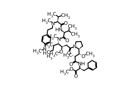 CC[C@H](C)[C@@H]([C@@H](CC(=O)N1CCC[C@H]1[C@H](OC)[C@@H](C)C(=O)N[C@@H](CC1=CC=CCC1)C(=O)OC)OC)N(C)C(=O)[C@@H](NC(=O)[C@H](C(C)C)N(C)CCc1ccc(NC)cc1)C(C)C